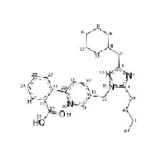 CCCCc1nc(CC2CCCCC2)nn1Cc1ccc(-c2ccccc2C(=O)O)nc1